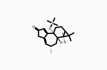 C[C@@H]1C=C2CC(=O)C=C2[C@@]2(O[Si](C)(C)C)CC[C@@H]3[C@H]([C@@H]2C1)C3(C)C